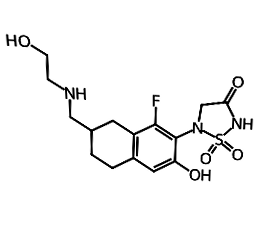 O=C1CN(c2c(O)cc3c(c2F)CC(CNCCO)CC3)S(=O)(=O)N1